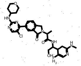 CNC1=NC=C(P)C(C(CO)NC(=O)C(C)N2Cc3ccc(-c4nc(NC5CCOCC5)ncc4Cl)cc3C2=O)C1